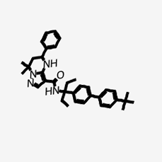 CCC(CC)(NC(=O)c1cnn2c1NC(c1ccccc1)CC2(C)C)c1ccc(-c2ccc(C(C)(C)C)cc2)cc1